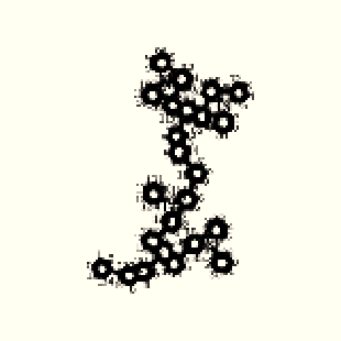 c1ccc(-c2ccc3ccc(-c4c5cccc(-c6ccc7c8ccccc8n(-c8ccccc8)c7c6)c5cc5c(-c6ccc7c8ccc(-c9cccc(-c%10ccc%11ccc(-c%12c%13cccc(-c%14cccc%15c%16ccccc%16n(-c%16ccccc%16)c%14%15)c%13cc%13c(-c%14cccc%15c%16ccccc%16n(-c%16ccccc%16)c%14%15)cccc%12%13)cc%11c%10)c9)cc8n(-c8ccccc8)c7c6)cccc45)cc3c2)cc1